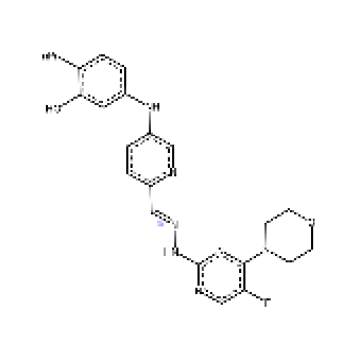 CCCc1ccc(Nc2ccc(/C=N/Nc3ncc(F)c(N4CCOCC4)n3)nc2)cc1O